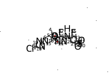 CC1OC(C)C2CN(c3ncc(Cl)cn3)CC1C2Oc1ncnc(Nc2ccc(S(C)(=O)=O)cc2F)c1F